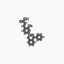 COc1cc(OCc2ccccc2C(=O)c2ccccc2)ccc1C=CC(=O)O